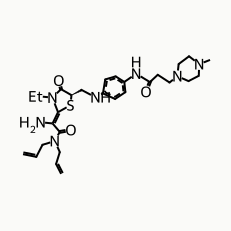 C=CCN(CC=C)C(=O)/C(N)=C1\S[C@H](CNc2ccc(NC(=O)CCN3CCN(C)CC3)cc2)C(=O)N1CC